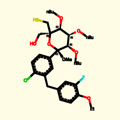 CCCCO[C@@H]1[C@@H](OCCCC)[C@](OC)(c2ccc(Cl)c(Cc3ccc(OCC)c(F)c3)c2)O[C@@](CO)(CS)[C@H]1OCCCC